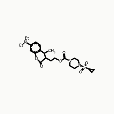 CCN(CC)c1ccc2c(c1)OC(=O)C(CCOC(=O)N1CCN(S(=O)(=O)C3CC3)CC1)C2C